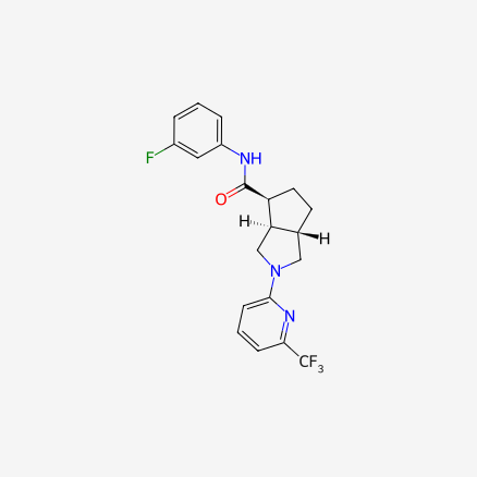 O=C(Nc1cccc(F)c1)[C@H]1CC[C@@H]2CN(c3cccc(C(F)(F)F)n3)C[C@H]21